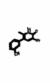 Cc1[nH]c(=O)c(C(C)C)cc1-c1cccc(C#N)c1